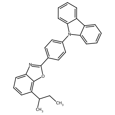 CCC(C)c1cccc2nc(-c3ccc(-n4c5ccccc5c5ccccc54)cc3)oc12